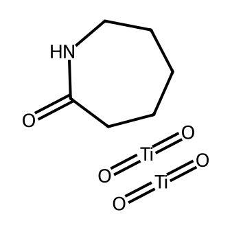 O=C1CCCCCN1.[O]=[Ti]=[O].[O]=[Ti]=[O]